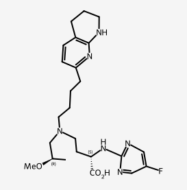 CO[C@H](C)CN(CCCCc1ccc2c(n1)NCCC2)CC[C@H](Nc1ncc(F)cn1)C(=O)O